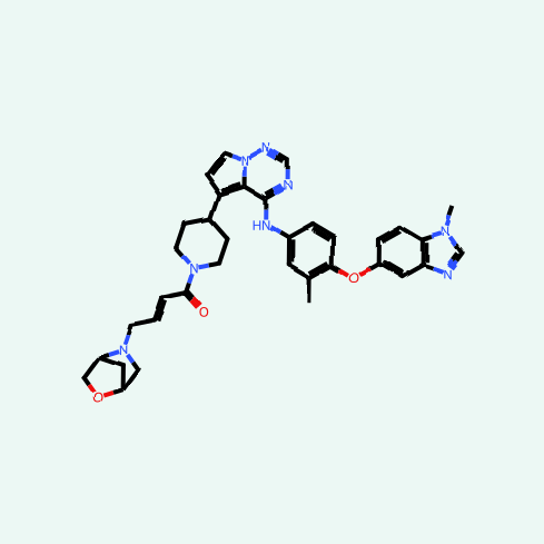 Cc1cc(Nc2ncnn3ccc(C4CCN(C(=O)/C=C/CN5CC6CC5CO6)CC4)c23)ccc1Oc1ccc2c(c1)ncn2C